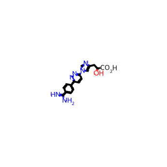 N=C(N)c1ccc(-c2ccc(-n3cnc(CC(O)C(=O)O)c3)nn2)cc1